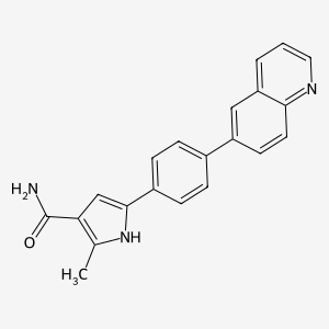 Cc1[nH]c(-c2ccc(-c3ccc4ncccc4c3)cc2)cc1C(N)=O